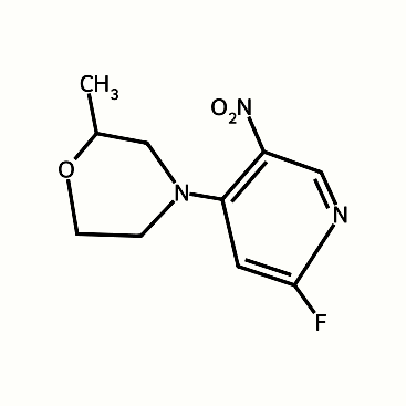 CC1CN(c2cc(F)ncc2[N+](=O)[O-])CCO1